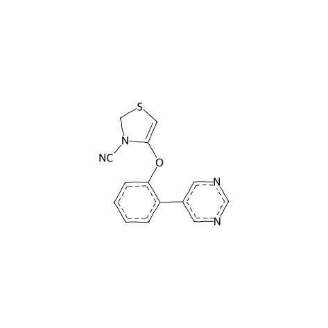 N#CN1CSC=C1Oc1ccccc1-c1cncnc1